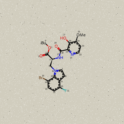 CCC(C)OC(=O)[C@H](Cn1ccc2c(F)ccc(Br)c21)NC(=O)c1nccc(OC)c1O